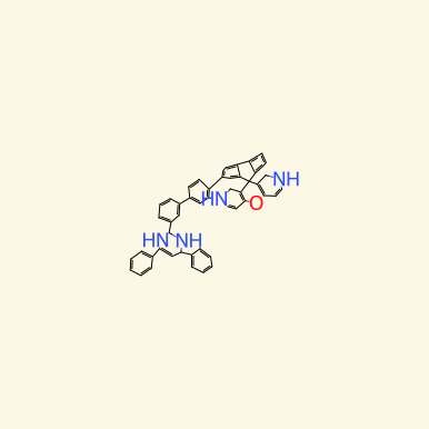 C1=CC2=C(CN1)C1(C3=C(C=CNC3)O2)c2ccccc2-c2ccc(-c3ccc(-c4cccc(C5NC(c6ccccc6)=CC(c6ccccc6)N5)c4)cc3)cc21